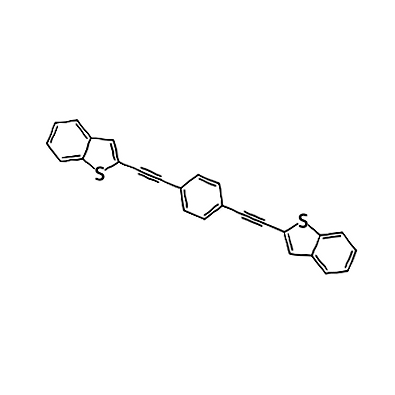 C(#Cc1cc2ccccc2s1)c1ccc(C#Cc2cc3ccccc3s2)cc1